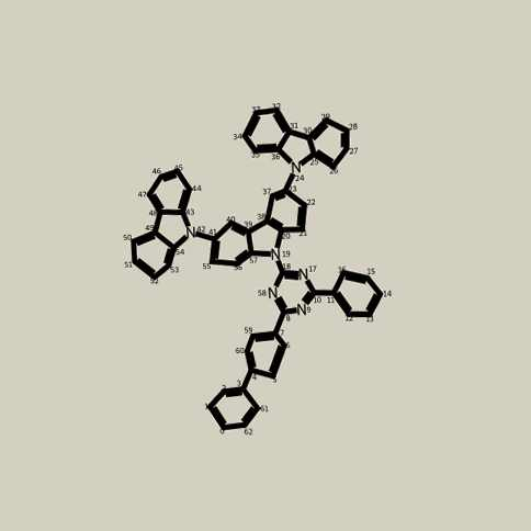 c1ccc(-c2ccc(-c3nc(-c4ccccc4)nc(-n4c5ccc(-n6c7ccccc7c7ccccc76)cc5c5cc(-n6c7ccccc7c7ccccc76)ccc54)n3)cc2)cc1